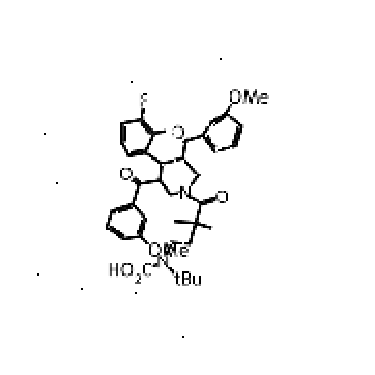 COc1cccc(C(=O)C2CN(C(=O)C(C)(C)CCN(C(=O)O)C(C)(C)C)CC(C(=O)c3cccc(OC)c3)C2c2cccc(F)c2C)c1